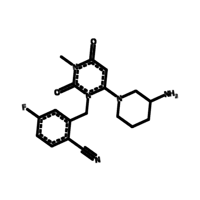 Cn1c(=O)cc(N2CCCC(N)C2)n(Cc2cc(F)ccc2C#N)c1=O